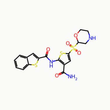 NC(=O)c1cc(S(=O)(=O)C2CNCCO2)sc1NC(=O)c1cc2ccccc2s1